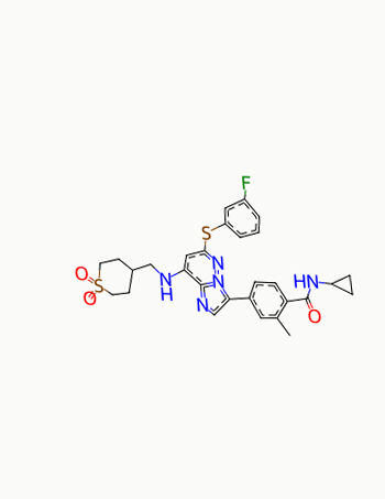 Cc1cc(-c2cnc3c(NCC4CCS(=O)(=O)CC4)cc(Sc4cccc(F)c4)nn23)ccc1C(=O)NC1CC1